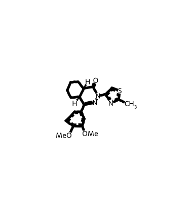 COc1ccc(C2=NN(c3csc(C)n3)C(=O)[C@H]3CCCC[C@@H]23)cc1OC